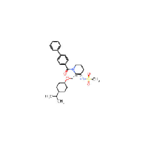 CC(C)[C@H]1CC[C@@H](OC[C@H]2[C@@H](NS(C)(=O)=O)CCCN2C(=O)c2ccc(-c3ccccc3)cc2)CC1